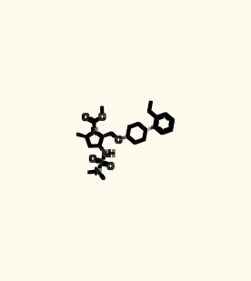 CCc1ccccc1[C@H]1CC[C@@H](OC[C@H]2[C@@H](NS(=O)(=O)N(C)C)C[C@@H](C)N2C(=O)OC)CC1